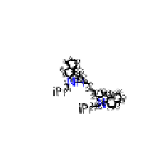 CC(C)CCNc1ccc2ccccc2c1C(C)(C)C/C=C/C=C/C=C1/N(CCC(C)C)c2ccc3ccccc3c2C1(C)C